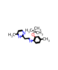 Cc1ccc(N=CCc2nccc(C)n2)c(O[Si](C)(C)C)c1